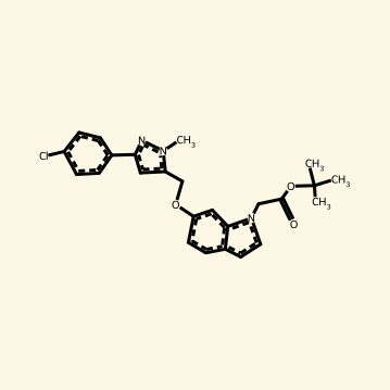 Cn1nc(-c2ccc(Cl)cc2)cc1COc1ccc2ccn(CC(=O)OC(C)(C)C)c2c1